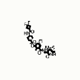 CSc1cc(C)[nH]c(=O)c1CNC(=O)c1cc(Cl)c2c(c1C)O[C@](C)([C@H]1CC[C@H](NC(=O)C3CC(F)(F)C3)CC1)O2